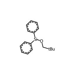 CC(C)(C)CO[Si](c1ccccc1)c1ccccc1